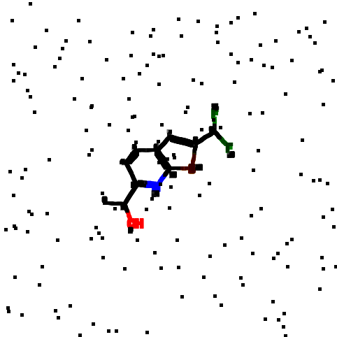 CC(O)c1ccc2cc(C(F)F)sc2n1